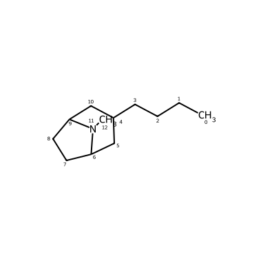 CCCCC1CC2CCC(C1)N2C